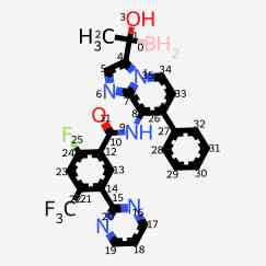 BC(C)(O)c1cnc2c(NC(=O)c3cc(-c4ncccn4)c(C(F)(F)F)cc3F)c(-c3ccccc3)ccn12